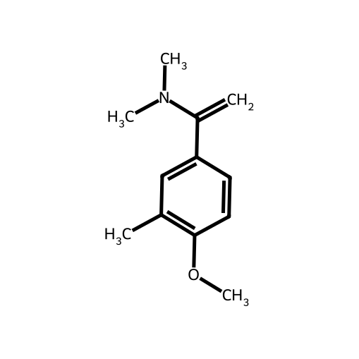 C=C(c1ccc(OC)c(C)c1)N(C)C